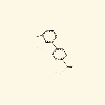 COC(=O)c1ccc(-c2cccc(N)c2[N+](=O)[O-])cc1